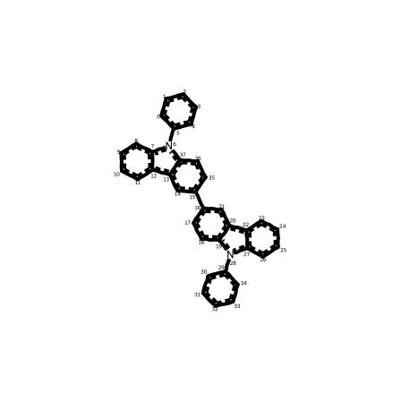 [c]1ccccc1-n1c2ccccc2c2cc(-c3ccc4c(c3)c3ccccc3n4-c3ccccc3)ccc21